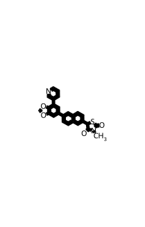 CN1C(=O)SC(c2ccc3cc(-c4cc5c(c(-c6cccnc6)c4)OCO5)ccc3c2)C1=O